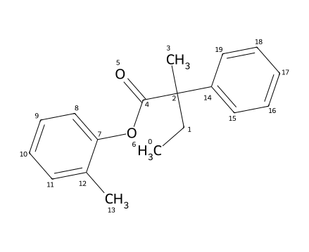 CCC(C)(C(=O)Oc1ccccc1C)c1ccccc1